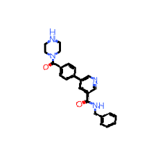 O=C(NCc1ccccc1)c1cncc(-c2ccc(C(=O)N3CCNCC3)cc2)c1